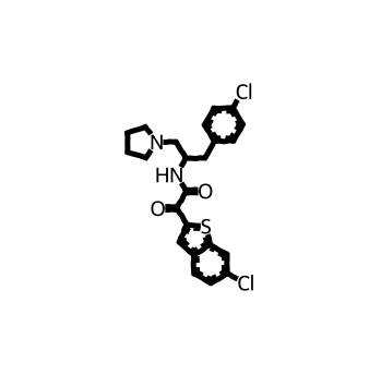 O=C(NC(Cc1ccc(Cl)cc1)CN1CCCC1)C(=O)c1cc2ccc(Cl)cc2s1